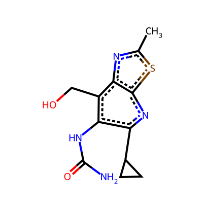 Cc1nc2c(CO)c(NC(N)=O)c(C3CC3)nc2s1